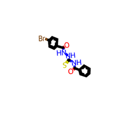 O=C(NNC(=S)NC(=O)c1ccccc1)c1ccc(Br)cc1